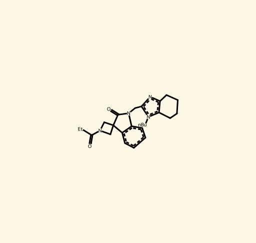 CCCCn1c(CN2C(=O)C3(CN(C(=O)CC)C3)c3ccccc32)nc2c1CCCC2